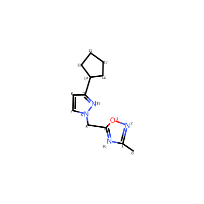 Cc1noc(Cn2ccc(C3CCCC3)n2)n1